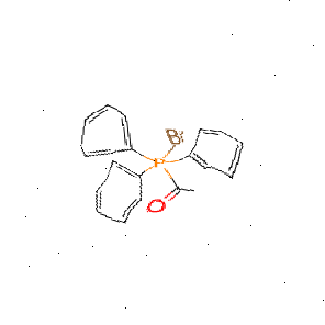 CC(=O)P(Br)(c1ccccc1)(c1ccccc1)c1ccccc1